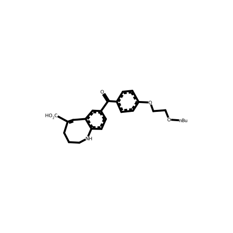 CCCCOCCOc1ccc(C(=O)c2ccc3c(c2)C=C(C(=O)O)CCCN3)cc1